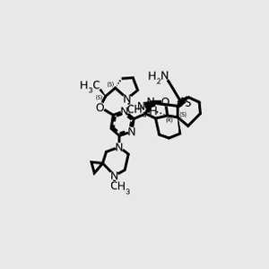 C[C@H](Oc1cc(N2CCN(C)C3(CC3)C2)nc(C2=NO[C@@H]3C2CCC[C@@]32CCCc3sc(N)c(C#N)c32)n1)[C@@H]1CCCN1C